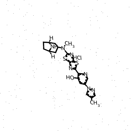 Cc1cnn(-c2cnc(-c3nc4sc(N(C)C5C[C@H]6CC[C@@H](C5)N6)nc4s3)c(O)c2)c1.Cl